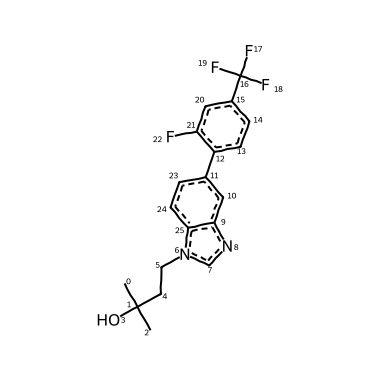 CC(C)(O)CCn1cnc2cc(-c3ccc(C(F)(F)F)cc3F)ccc21